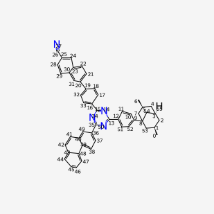 C[C@@H]1C[C@@H]2C[C@H](C)CC(c3ccc(-c4nc(-c5ccc(-c6ccc7cc(C#N)ccc7c6)cc5)nc(-c5ccc6c(ccc7ccccc76)c5)n4)cc3)(C1)C2